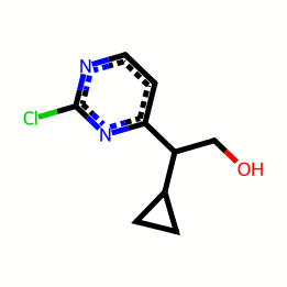 OCC(c1ccnc(Cl)n1)C1CC1